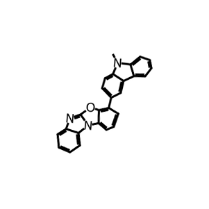 Cn1c2ccccc2c2cc(-c3cccc4c3oc3nc5ccccc5n34)ccc21